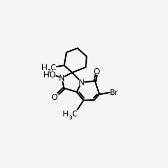 Cc1cc(Br)c(=O)n2c1C(=O)N(O)C21CCCCC1C